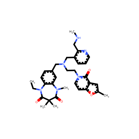 CCN1C(=O)C(C)(C)C(=O)N(C)c2cc(CN(CCn3ccc4oc(C)cc4c3=O)Cc3cccnc3CNC)ccc21